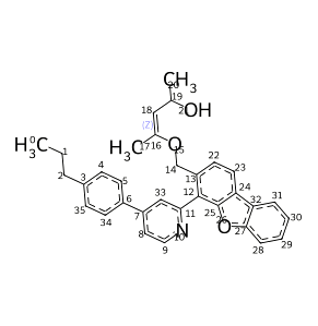 CCCc1ccc(-c2ccnc(-c3c(CO/C(C)=C\C(C)O)ccc4c3oc3ccccc34)c2)cc1